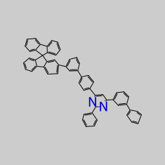 c1ccc(-c2cccc(-c3cc(-c4ccc(-c5cccc(-c6ccc7c(c6)C6(c8ccccc8-c8ccccc86)c6ccccc6-7)c5)cc4)nc(-c4ccccc4)n3)c2)cc1